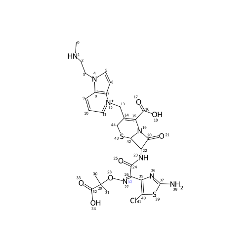 CNCCn1ccc2c1ccc[n+]2CC1=C(C(=O)O)N2C(=O)C(NC(=O)/C(=N\OC(C)(C)C(=O)O)c3nc(N)sc3Cl)C2SC1